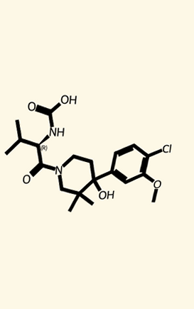 COc1cc(C2(O)CCN(C(=O)[C@H](NC(=O)O)C(C)C)CC2(C)C)ccc1Cl